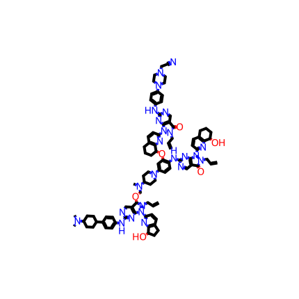 C=CCN1C(OCN(C)C2CCN(c3ccc(Nc4ncc5c(=O)n(CC=C)n(-c6ccc7c(n6)C(O)CCC7)c5n4)c(OC4CCCc5ccc(-n6c7nc(Nc8ccc(N9CCN(CC#N)CC9)cc8)ncc7c(=O)n6CC=C)nc54)c3)CC2)c2cnc(Nc3ccc(C4CCC(N(C)C)CC4)cc3)nc2N1c1ccc2c(n1)C(O)CC2